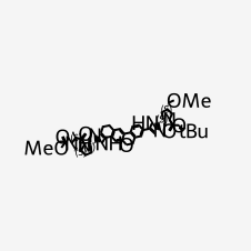 COC[C@H]1C[C@@H](c2ncc(-c3ccc4c(c3)COc3cc5c(cc3-4)CCc3nc([C@@H]4CC[C@H](C)N4C(=O)[C@H](C)NC(=O)OC)[nH]c3-5)[nH]2)N(C(=O)OC(C)(C)C)C1